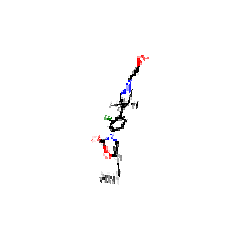 CC(=O)NC[C@H]1CN(c2ccc([C@H]3[C@@H]4CN(CCO)C[C@@H]43)c(F)c2)C(=O)O1